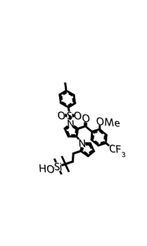 COc1cc(C(F)(F)F)ccc1C(=O)c1c(-n2cccc2CCC(C)(C)[Si](C)(C)O)ccn1S(=O)(=O)c1ccc(C)cc1